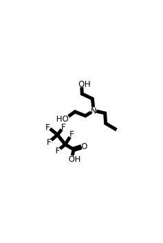 CCCN(CCO)CCO.O=C(O)C(F)(F)C(F)(F)F